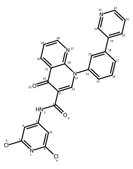 O=C(Nc1cc(Cl)nc(Cl)c1)c1cn(-c2cccc(-c3cccnc3)c2)c2ncccc2c1=O